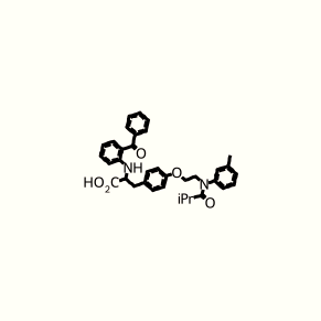 Cc1cccc(N(CCOc2ccc(CC(Nc3ccccc3C(=O)c3ccccc3)C(=O)O)cc2)C(=O)C(C)C)c1